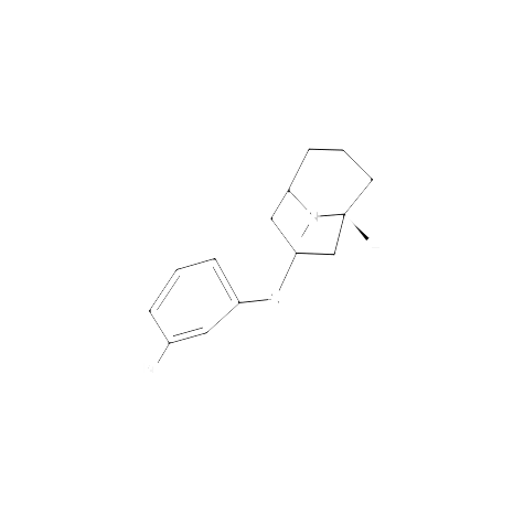 CN1C2CCC[C@@H]1CC(Nc1cccc(Br)c1)C2